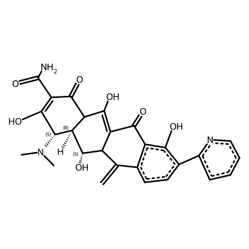 C=C1c2ccc(-c3ccccn3)c(O)c2C(=O)C2=C(O)C3C(=O)C(C(N)=O)=C(O)[C@@H](N(C)C)[C@@H]3[C@@H](O)C12